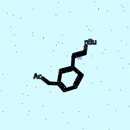 CCCC/C=C/c1cccc(CC(C)=O)c1